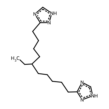 CCC(CCCCCc1nc[nH]n1)CCCCc1nc[nH]n1